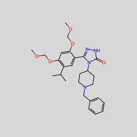 COCOc1cc(OCOC)c(C(C)C)cc1-c1n[nH]c(=O)n1C1CCN(Cc2ccccc2)CC1